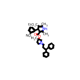 CCOC(=O)C1=C(C)NC(C)=C(C(=O)O[C@@]2(C)CCN(CCC(c3ccccc3)c3ccccc3)C2)C1c1cccc([N+](=O)[O-])c1